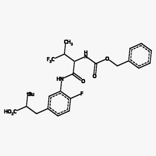 CC(C(NC(=O)OCc1ccccc1)C(=O)Nc1cc(CC(C(=O)O)C(C)(C)C)ccc1F)C(F)(F)F